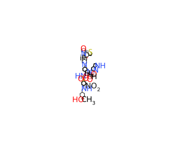 CC(C)c1ccsc1[C@@H]1COCCN1C1CC2(CCN(c3ccc(C(=O)NS(=O)(=O)c4ccc(NCC5CCC(C)(O)CC5)c([N+](=O)[O-])c4)c(N4c5cc6cc[nH]c6nc5O[C@H]5COCC[C@@H]54)c3)CC2)C1